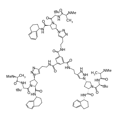 CNC(C)C(=O)N[C@H](C(=O)N1C[C@@H](N2C=C(CCNC(=O)c3cc(C(=O)NCCc4cn([C@H]5C[C@@H](C(=O)N[C@@H]6CCCc7ccccc76)N(C(=O)[C@@H](NC(=O)[C@H](C)NC)C(C)(C)C)C5)nn4)cc(C(=O)NCCc4cn([C@H]5C[C@@H](C(=O)N[C@@H]6CCCc7ccccc76)N(C(=O)[C@@H](NC(=O)[C@H](C)NC)C(C)(C)C)C5)nn4)c3)NN2)C[C@H]1C(=O)N[C@@H]1CCCc2ccccc21)C(C)(C)C